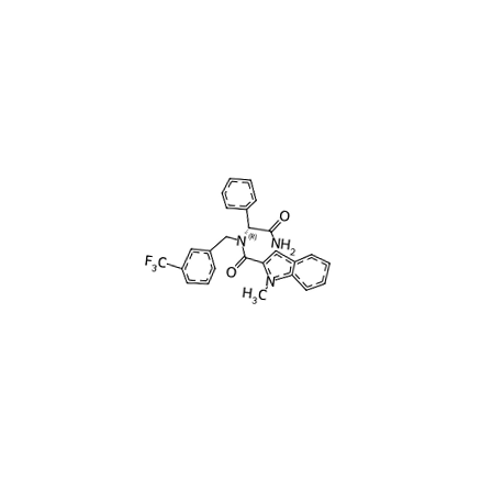 Cn1c(C(=O)N(Cc2cccc(C(F)(F)F)c2)[C@@H](C(N)=O)c2ccccc2)cc2ccccc21